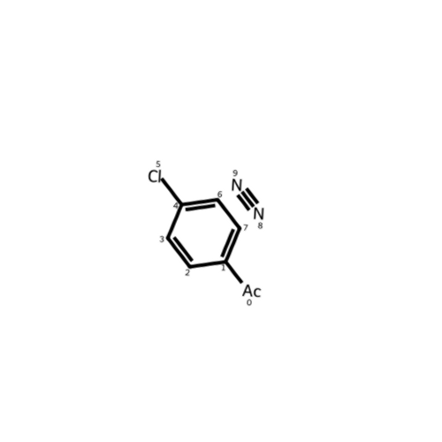 CC(=O)c1ccc(Cl)cc1.N#N